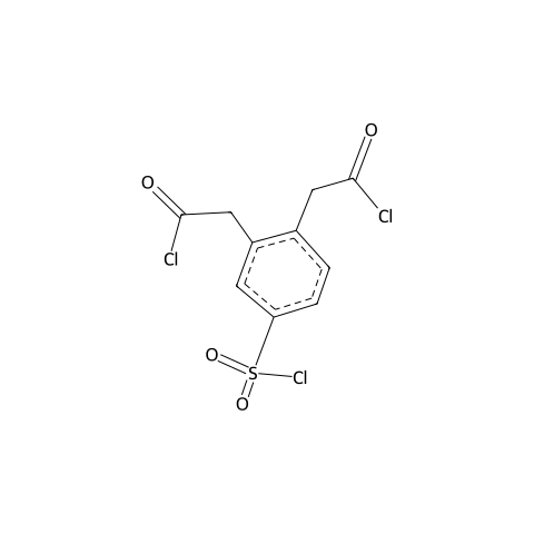 O=C(Cl)Cc1ccc(S(=O)(=O)Cl)cc1CC(=O)Cl